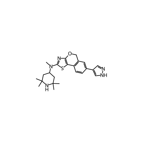 CN(c1nc2c(s1)-c1ccc(-c3cn[nH]c3)cc1CO2)C1CC(C)(C)NC(C)(C)C1